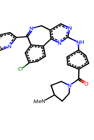 CNC1CCN(C(=O)c2ccc(Nc3ncc4c(n3)-c3ccc(Cl)cc3C(c3ccccn3)=NC4)cc2)CC1